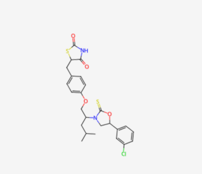 CC(C)CC(COc1ccc(CC2SC(=O)NC2=O)cc1)N1CC(c2cccc(Cl)c2)OC1=S